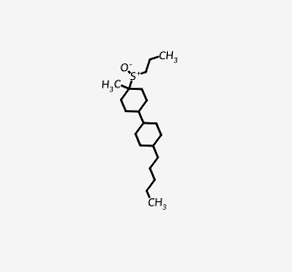 CCCCCC1CCC(C2CCC(C)([S+]([O-])CCC)CC2)CC1